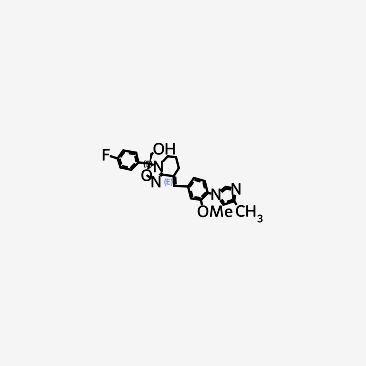 COc1cc(/C=C2\CCCN3C2=NO[C@]3(CO)c2ccc(F)cc2)ccc1-n1cnc(C)c1